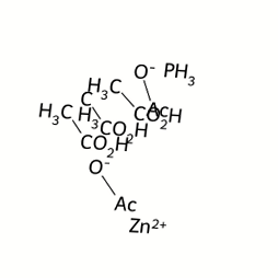 CC(=O)O.CC(=O)O.CC(=O)O.CC(=O)[O-].CC(=O)[O-].P.[Zn+2]